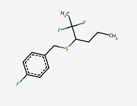 CCCC(SCc1ccc(F)cc1)C(C)(F)F